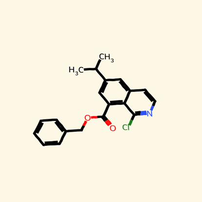 CC(C)c1cc(C(=O)OCc2ccccc2)c2c(Cl)nccc2c1